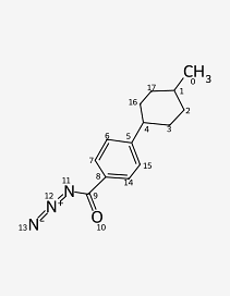 CC1CCC(c2ccc(C(=O)N=[N+]=[N-])cc2)CC1